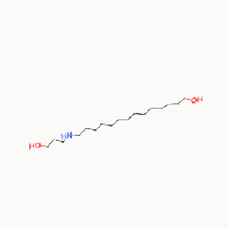 OCCCCCCCCCCCCCCNCCCO